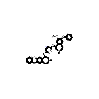 COc1cc2c(cc1Sc1ccccc1)CCN(C)CC2OC(=O)/C=C\C(=O)OC1CN(C)CCc2cc(Sc3ccccc3)c(OC)cc21